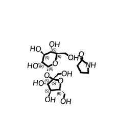 O=C1CCCN1.OC[C@H]1O[C@@](CO)(O[C@H]2O[C@H](CO)[C@@H](O)[C@H](O)[C@H]2O)[C@@H](O)[C@@H]1O